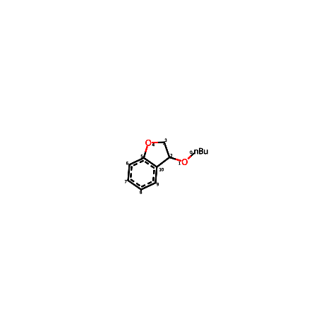 CCCCOC1[C]Oc2ccccc21